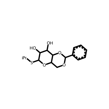 CC(C)SC1OC2COC(c3ccccc3)OC2C(O)C1O